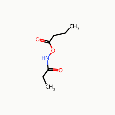 CCCC(=O)ONC(=O)CC